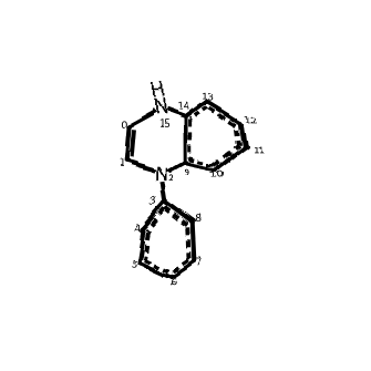 C1=CN(c2ccccc2)c2ccccc2N1